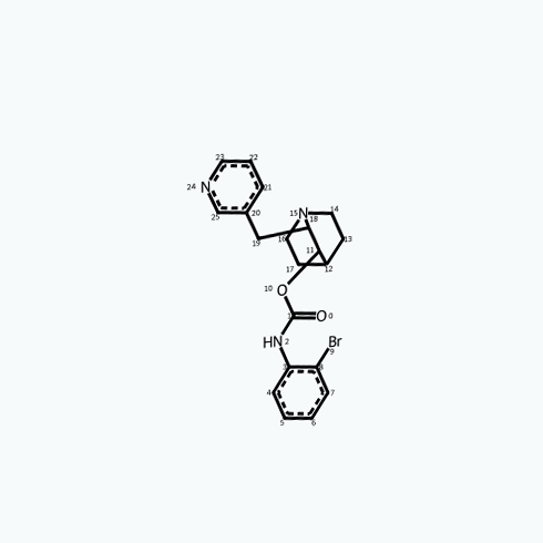 O=C(Nc1ccccc1Br)OC1C2CCN(CC2)C1Cc1cccnc1